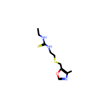 CCNC(=S)NCCSCc1ocnc1C